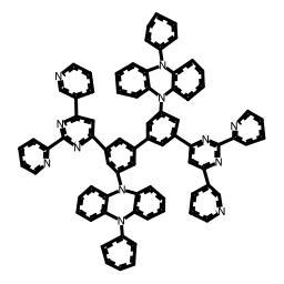 c1ccc(N2c3ccccc3N(c3cc(-c4cc(-c5cc(-c6cccnc6)nc(-c6ccccn6)n5)cc(N5c6ccccc6N(c6ccccc6)c6ccccc65)c4)cc(-c4cc(-c5cccnc5)nc(-c5ccccn5)n4)c3)c3ccccc32)cc1